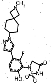 CN1CC2(CCC(n3cc(-c4ccc(O)c(N5CC(=O)NS5(=O)=O)c4F)cn3)CC2)C1